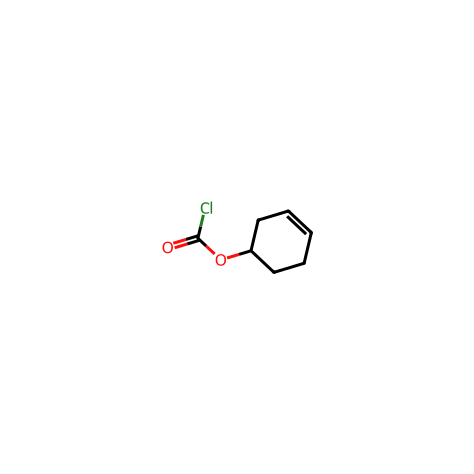 O=C(Cl)OC1CC=CCC1